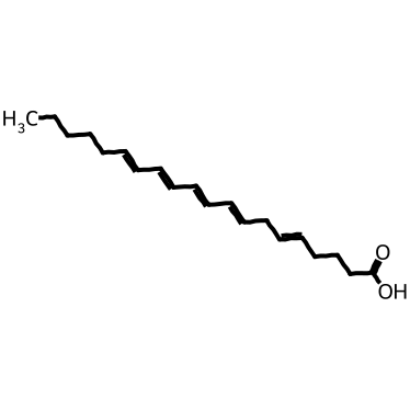 CCCCCC=CC=CC=CC=CCC=CCCCC(=O)O